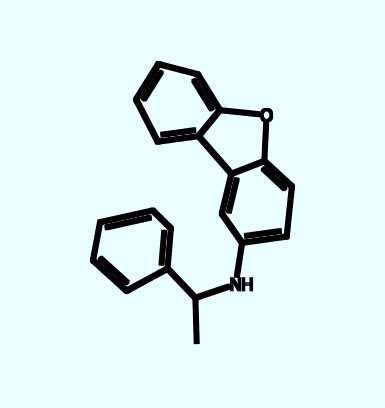 CC(Nc1ccc2oc3ccccc3c2c1)c1ccccc1